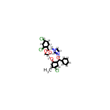 Cc1cc(OC[C@@H]2CO[C@@](Cn3ccnc3)(c3ccc(Cl)cc3Cl)O2)c(C(=O)c2ccccc2)cc1Cl